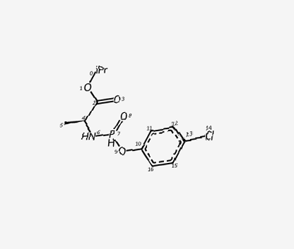 CC(C)OC(=O)[C@H](C)N[PH](=O)Oc1ccc(Cl)cc1